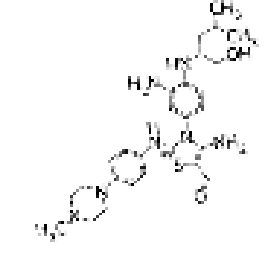 CC(C)CC(CO)Nc1ccc(N2C(N)=C(C=O)S[C@@H]2Nc2ccc(N3CCN(C)CC3)cc2)cc1N